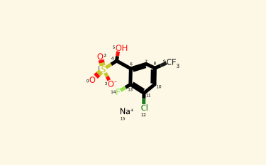 O=S(=O)([O-])C(O)c1cc(C(F)(F)F)cc(Cl)c1F.[Na+]